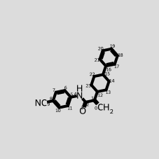 C=C(C(=O)Nc1ccc(C#N)cc1)C1CCC(c2ccccc2)CC1